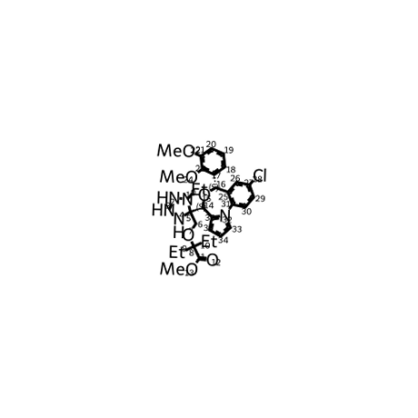 CCN1NNNC1(COC(CC)(CC)C(=O)OC)[C@H]1O[C@H](c2cccc(OC)c2OC)c2cc(Cl)ccc2-n2cccc21